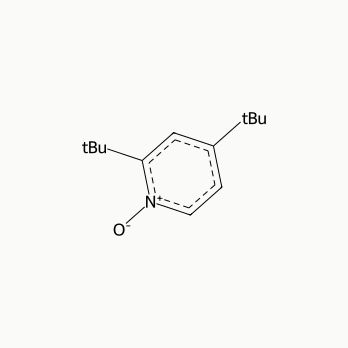 CC(C)(C)c1cc[n+]([O-])c(C(C)(C)C)c1